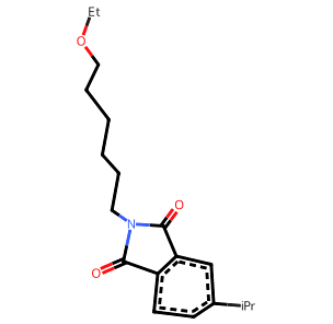 CCOCCCCCCN1C(=O)c2ccc(C(C)C)cc2C1=O